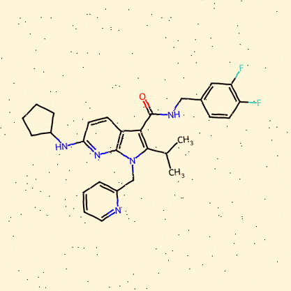 CC(C)c1c(C(=O)NCc2ccc(F)c(F)c2)c2ccc(NC3CCCC3)nc2n1Cc1ccccn1